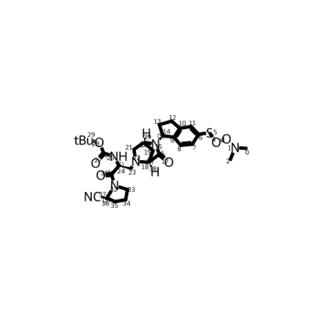 CN(C)OOSc1ccc2c(c1)CC[C@@H]2N1C(=O)[C@@H]2C[C@H]1CN2C[C@H](NC(=O)OC(C)(C)C)C(=O)N1CCC[C@H]1C#N